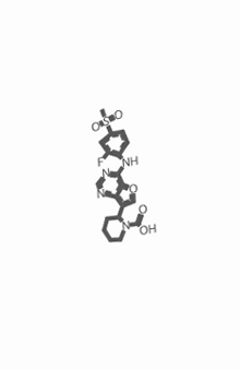 CS(=O)(=O)c1ccc(Nc2ncnc3c(C4CCCCN4C(=O)O)coc23)c(F)c1